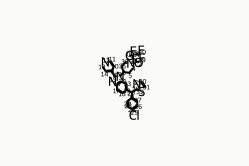 O=S(=O)(N1CCC(n2c(-c3ccncc3)nc3ccc(C(c4ccc(Cl)cc4)c4nccs4)cc32)CC1)C(F)(F)F